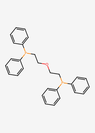 c1ccc(P(CCOCCP(c2ccccc2)c2ccccc2)c2ccccc2)cc1